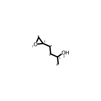 CC(O)CCC1CO1